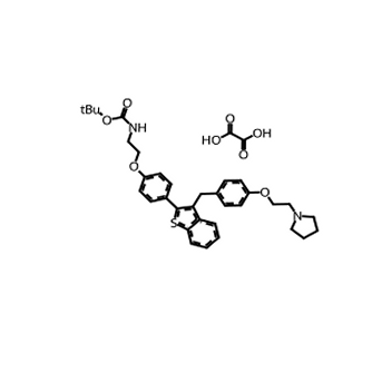 CC(C)(C)OC(=O)NCCOc1ccc(-c2sc3ccccc3c2Cc2ccc(OCCN3CCCC3)cc2)cc1.O=C(O)C(=O)O